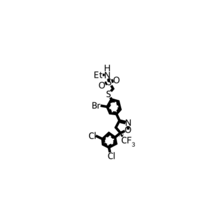 CCNS(=O)(=O)CSc1ccc(C2=NO[C@@](c3cc(Cl)cc(Cl)c3)(C(F)(F)F)C2)cc1Br